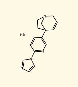 Br.C1=CC2(c3ccc(-n4ccnc4)nc3)CCN(C1)C2